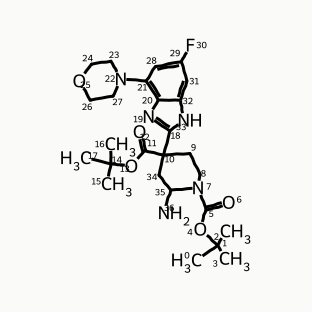 CC(C)(C)OC(=O)N1CCC(C(=O)OC(C)(C)C)(c2nc3c(N4CCOCC4)cc(F)cc3[nH]2)CC1N